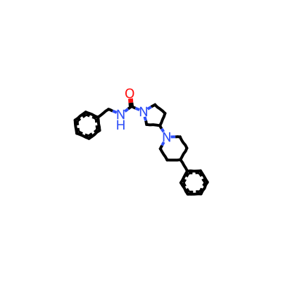 O=C(NCc1ccccc1)N1CCC(N2CCC(c3ccccc3)CC2)C1